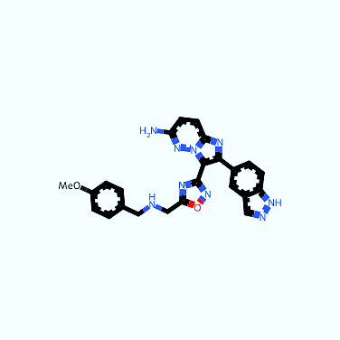 COc1ccc(CNCc2nc(-c3c(-c4ccc5[nH]ncc5c4)nc4ccc(N)nn34)no2)cc1